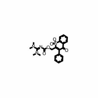 CN(C)C(=NC(=O)OCC1=C(c2ccccc2)C(=O)c2ccccc2S1(=O)=O)N(C)C